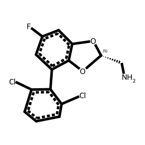 NC[C@H]1Oc2cc(F)cc(-c3c(Cl)cccc3Cl)c2O1